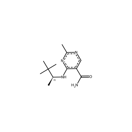 Cc1ncc(C(N)=O)c(N[C@@H](C)C(C)(C)C)n1